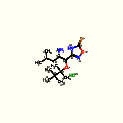 CC(C)C[C@H](N)C(O[Si](C)(C)C(C)(C)C)c1noc(=S)[nH]1.Cl